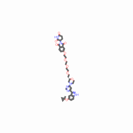 CC1(Oc2ccc3[nH]nc(-c4cc(N5CCO[C@@H](CCOCCOCCOCCOc6ccc7c(c6)C(=O)N(C6CCC(=O)NC6=O)C7=O)C5)ncn4)c3c2)CC1